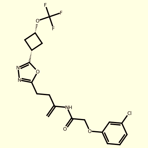 C=C(CCc1nnc([C@H]2C[C@@H](OC(F)(F)F)C2)o1)NC(=O)COc1cccc(Cl)c1